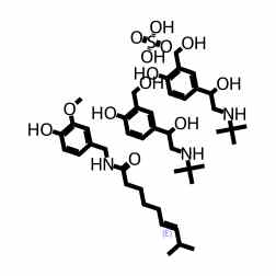 CC(C)(C)NCC(O)c1ccc(O)c(CO)c1.CC(C)(C)NCC(O)c1ccc(O)c(CO)c1.COc1cc(CNC(=O)CCCC/C=C/C(C)C)ccc1O.O=S(=O)(O)O